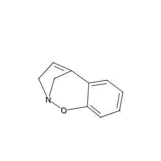 C1=C2CN(C1)Oc1ccccc12